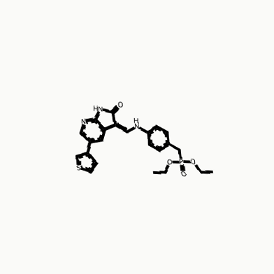 CCOP(=O)(Cc1ccc(NC=C2C(=O)Nc3ncc(-c4ccsc4)cc32)cc1)OCC